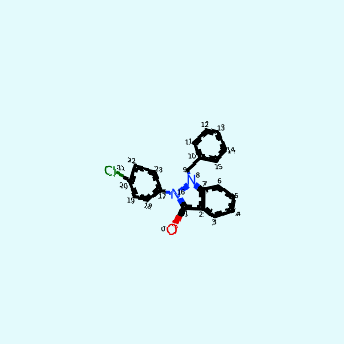 O=c1c2ccccc2n(Cc2ccccc2)n1-c1ccc(Cl)cc1